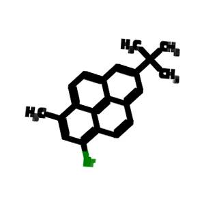 Cc1cc(Br)c2ccc3cc(C(C)(C)C)cc4ccc1c2c43